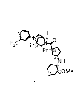 CO[C@@H]1COCC[C@@H]1N[C@@H]1CC[C@@](C(=O)N2C[C@@H]3C[C@H]2CN3c2ccnc(C(F)(F)F)c2)(C(C)C)C1